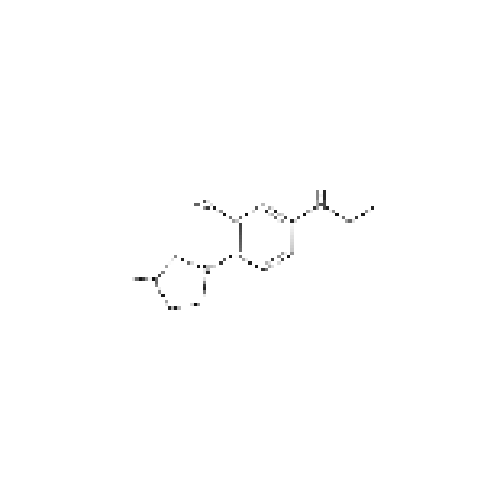 CCNc1ccc(N2CCN(C)C2)c(O)c1